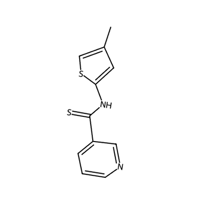 Cc1csc(NC(=S)c2cccnc2)c1